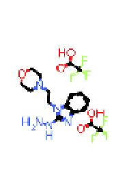 NNc1nc2ccccc2n1CCN1CCOCC1.O=C(O)C(F)(F)F.O=C(O)C(F)(F)F